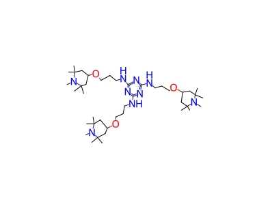 CN1C(C)(C)CC(OCCCNc2nc(NCCCOC3CC(C)(C)N(C)C(C)(C)C3)nc(NCCCOC3CC(C)(C)N(C)C(C)(C)C3)n2)CC1(C)C